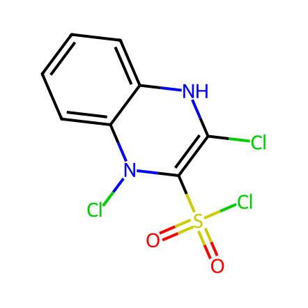 O=S(=O)(Cl)C1=C(Cl)Nc2ccccc2N1Cl